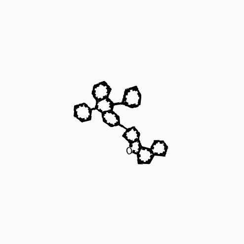 c1ccc(-c2c3ccccc3c(-c3ccccc3)c3cc(-c4ccc5c(c4)oc4ccc6ccccc6c45)ccc23)cc1